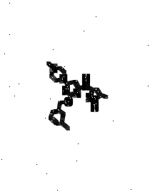 Cc1cccc(COc2nc(Nc3cc(C)[nH]n3)cc(N3CCN(C)CC3)n2)c1